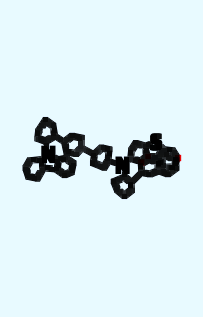 c1ccc(N(c2ccc(-c3ccc(-c4ccccc4-n4c5ccccc5c5ccccc54)cc3)cc2)c2ccc3sc4ccccc4c3c2)c(-c2ccc3ccccc3c2)c1